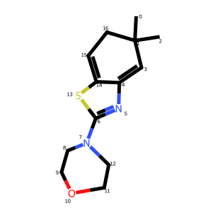 CC1(C)C=c2nc(N3CCOCC3)sc2=CC1